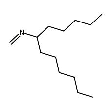 C=NC(CCCCC)CCCCCC